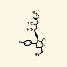 CC(C)CC1=CC(c2ccc(F)cc2)N(C#C[C@@H](O)C[C@@H](O)CC(=O)OC(C)(C)C)C(C(C)C)=N1